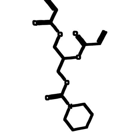 C=CC(=O)OCC(COC(=O)N1CCCCC1)OC(=O)C=C